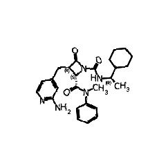 C[C@@H](NC(=O)N1C(=O)[C@H](Cc2ccnc(N)c2)[C@H]1C(=O)N(C)c1ccccc1)C1CCCCC1